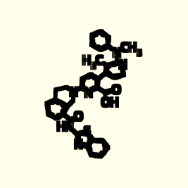 Cc1c(-c2ccc(N3CCc4cccc(C(=O)Nc5nc6ccccc6s5)c4C3)nc2C(=O)O)ccnc1N(C)c1ccccc1